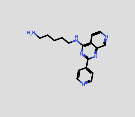 NCCCCCNc1nc(-c2ccncc2)nc2cnccc12